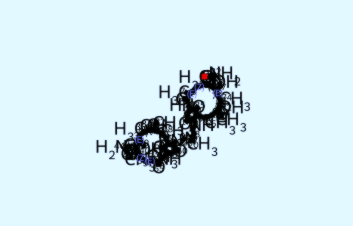 CO[C@H]1/C=C\C=C(/C)C(=O)NC2=CC(=O)C(NCCN(C)CCNC3=C4C[C@@H](C)C[C@H](OC)[C@H](O)[C@@H](C)/C=C(\CO)[C@H](OC(N)=O)[C@@H](OC)/C=C\C=C(/C)C(=O)NC(=CC3=O)C4=O)=C(C[C@@H](C)C[C@H](OC)[C@H](O)[C@@H](C)/C=C(\CO)[C@@H]1OC(N)=O)C2=O